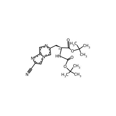 CC(C)(C)OC(=O)N[C@@H](Cc1cn2cc(C#N)nc2cn1)C(=O)OC(C)(C)C